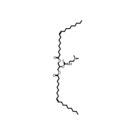 CCCCCCCC/C=C\CCCCCCCC(=O)OCC(COC(=O)CCCCCCC/C=C\CCCCCCCC)OC(=S)NCCN(C)C